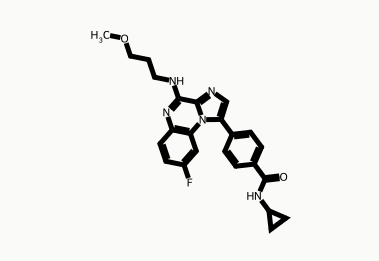 COCCCNc1nc2ccc(F)cc2n2c(-c3ccc(C(=O)NC4CC4)cc3)cnc12